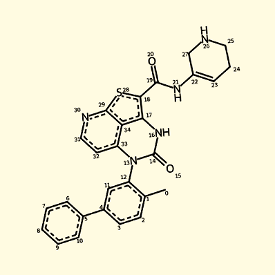 Cc1ccc(-c2ccccc2)cc1N1C(=O)Nc2c(C(=O)NC3=CCCNC3)sc3nccc1c23